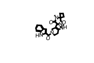 COCC1(N(C)C(=O)c2n[nH]c3c2CN(C(=O)c2cc4ccccc4[nH]2)CC3)CCC1